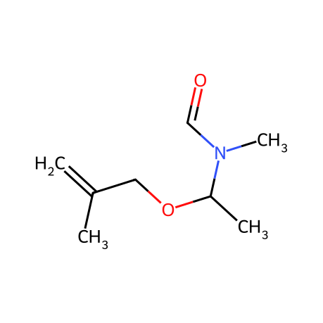 C=C(C)COC(C)N(C)C=O